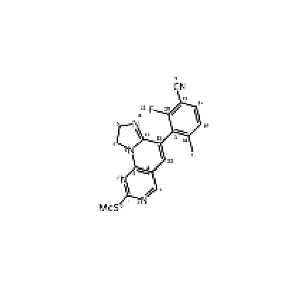 CSc1ncc2c(n1)N1CCN=C1C(c1c(C)ccc(C#N)c1F)=C2